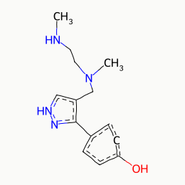 CNCCN(C)Cc1c[nH]nc1-c1ccc(O)cc1